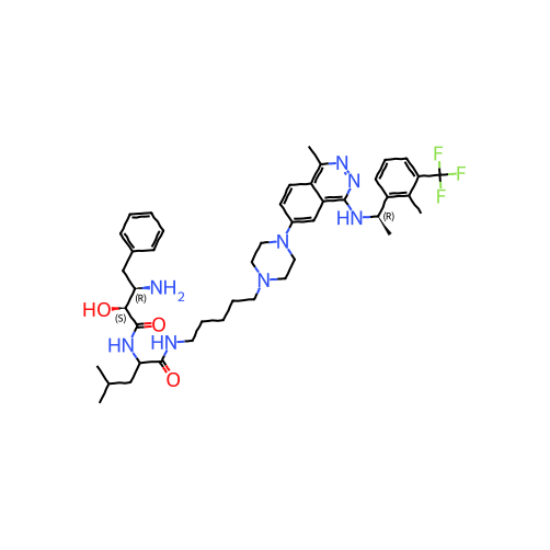 Cc1c([C@@H](C)Nc2nnc(C)c3ccc(N4CCN(CCCCCNC(=O)C(CC(C)C)NC(=O)[C@@H](O)[C@H](N)Cc5ccccc5)CC4)cc23)cccc1C(F)(F)F